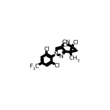 CC1(c2nn(-c3c(Cl)cc(C(F)(F)F)cc3Cl)cc2C#N)CC1(Cl)Cl